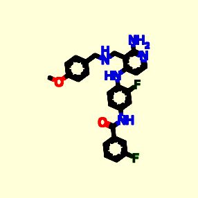 COc1ccc(CNCc2c(Nc3ccc(NC(=O)c4cccc(F)c4)cc3F)ccnc2N)cc1